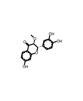 CO[C@@H]1C(=O)c2ccc(O)cc2O[C@H]1c1ccc(O)c(O)c1